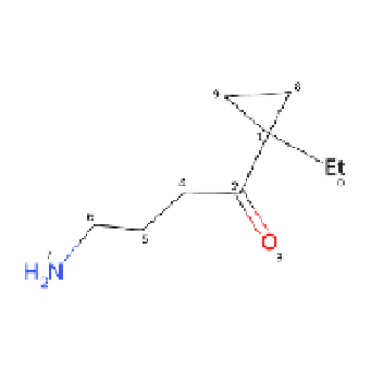 CCC1(C(=O)CCCN)CC1